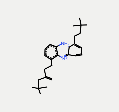 C=C(CCc1cccc(N)c1/N=C1/C=CC=C(CCC(C)(C)C)C1)CC(C)(C)C